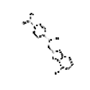 O=C(O)c1ccc(C(O)Cn2cc3c(Br)cccc3n2)cc1